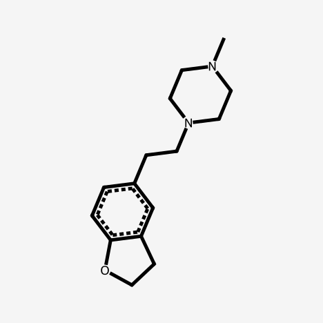 CN1CCN(CCc2ccc3c(c2)CCO3)CC1